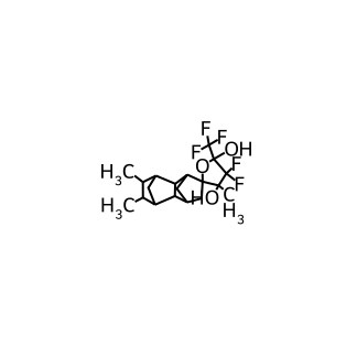 CC1C(C)C2CC1C1C3CC(C21)C1(C3)OC(O)(C(F)(F)F)C(F)(F)C1(C)O